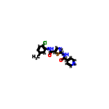 Cc1ccc(Cl)c(NC(=O)c2cnc(NC(=O)c3ccncc3)s2)c1